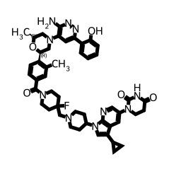 Cc1cc(C(=O)N2CCC(F)(CN3CCC(n4cc(C5CC5)c5cc(N6CCC(=O)NC6=O)cnc54)CC3)CC2)ccc1[C@@H]1CN(c2cc(-c3ccccc3O)nnc2N)C[C@@H](C)O1